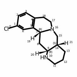 Clc1ccc2c(c1)[C@H]1C[C@H]3NCCC[C@H]3CN1CC2